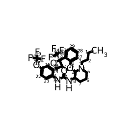 CCCCN1CCCC(NC(=O)Nc2ccc(OC(F)(F)F)cc2)C1Oc1ccccc1[C@@]1(C(F)(F)F)CCO1